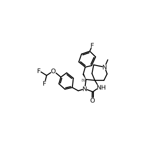 CN1CCC2(CC1)NC(=O)N(Cc1ccc(OC(F)F)cc1)[C@H]2Cc1ccc(F)cc1